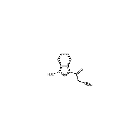 Cn1cc(C(=O)CC#N)c2ccccc21